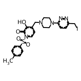 Cc1ccc(S(=O)(=O)n2ccc(CN3CCN(c4ccc(CI)nn4)CC3)c(O)c2=O)cc1